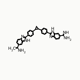 C=C(N)c1ccc2nc(-c3ccc(C4CC4c4ccc(-c5nc6ccc(C(=N)N)cc6[nH]5)cc4)cc3)[nH]c2c1